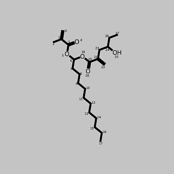 C=C(C)C(=O)OC(CCCCCCCCCCC)OC(=O)C(=C)CC(O)CC